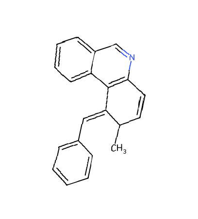 CC1C=Cc2ncc3ccccc3c2C1=Cc1ccccc1